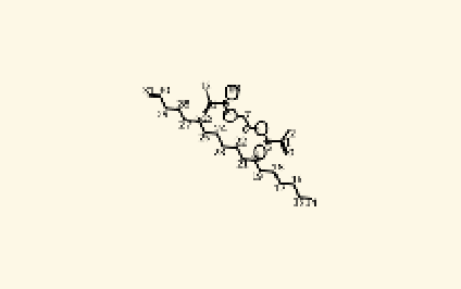 C=C(C)C(=O)OCCOC(=O)C(=C)C.CCCCCCCCCCCCCCCCCC